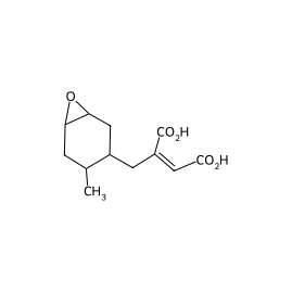 CC1CC2OC2CC1C/C(=C/C(=O)O)C(=O)O